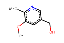 COc1ncc(CO)cc1OC(C)C